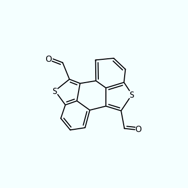 O=Cc1sc2cccc3c4c(C=O)sc5cccc(c1c23)c54